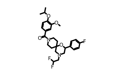 COc1cc(C(=O)N2CCC3(CC2)CN(CC(F)F)CC(c2ccc(F)cc2)O3)ccc1OC(C)C